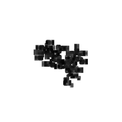 CSCC[C@H](N)C(=O)O[C@H]1[C@H](OC(CO)CS)[C@@H](O)[C@@H](O[C@H]2O[C@H](CO)[C@@H](O)[C@H](O)[C@H]2O)O[C@@H]1CO.O=C(O)CN(CCN(CC(=O)O)CC(=O)O)CC(=O)O.OC[C@@H](O)[C@@H](O)[C@H](O)[C@H](O)CO